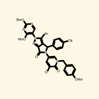 COc1ccc(Cn2cc(N3C(=O)c4nn(-c5cnc(OC)nc5OC)c(C(C)C)c4C3c3ccc(C#N)cc3)cc(Cl)c2=O)cc1